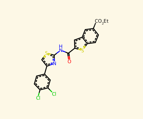 CCOC(=O)c1ccc2sc(C(=O)Nc3nc(-c4ccc(Cl)c(Cl)c4)cs3)cc2c1